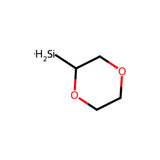 [SiH2]C1COCCO1